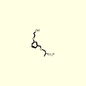 C[C@@H](COCc1cccc(OCCO)c1)C(=O)O